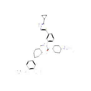 COc1ccc([C@H]2CC[C@H](CN(c3cccc(-c4cnc(C5CC5)s4)c3)C(=O)[C@H]3CC[C@H](N)CC3)CC2)cc1C